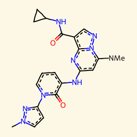 CNc1cc(Nc2cccn(-c3ccn(C)n3)c2=O)nc2c(C(=O)NC3CC3)cnn12